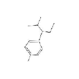 CCC(c1ccc(C)cc1)C(C)C